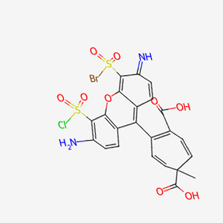 CC1(C(=O)O)C=CC(C(=O)O)=C(c2c3ccc(=N)c(S(=O)(=O)Br)c-3oc3c(S(=O)(=O)Cl)c(N)ccc23)C=C1